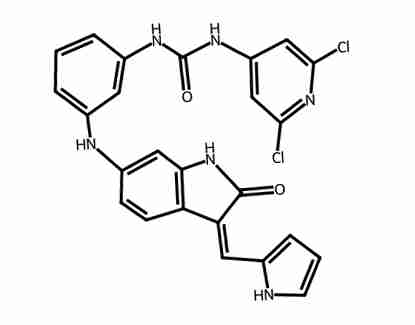 O=C(Nc1cccc(Nc2ccc3c(c2)NC(=O)C3=Cc2ccc[nH]2)c1)Nc1cc(Cl)nc(Cl)c1